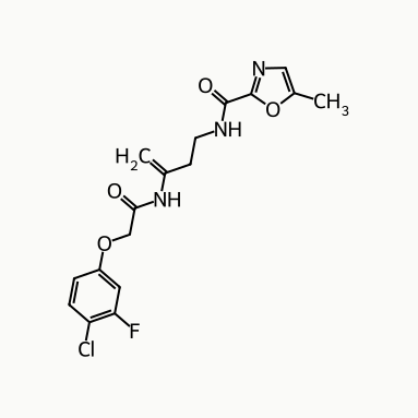 C=C(CCNC(=O)c1ncc(C)o1)NC(=O)COc1ccc(Cl)c(F)c1